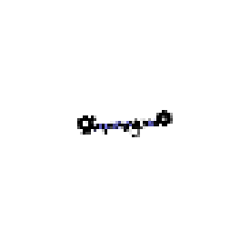 CC1=C(/C=C/C(C)=C/C=C/C(C)=C/C(=O)OC/C=C/c2ccccc2)C(C)(C)CCC1